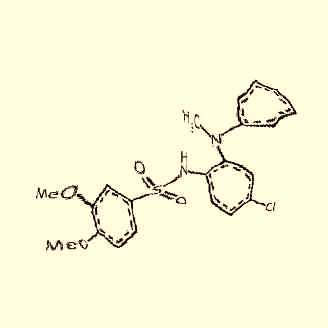 COc1ccc(S(=O)(=O)Nc2ccc(Cl)cc2N(C)c2ccccc2)cc1OC